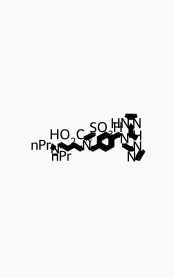 CCCN(CCC)CCCCN(Cc1ccc(CN(Cc2ncc[nH]2)C(C)c2ncc[nH]2)cc1)[C@@H](CS(=O)(=O)O)C(=O)O